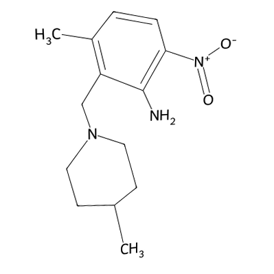 Cc1ccc([N+](=O)[O-])c(N)c1CN1CCC(C)CC1